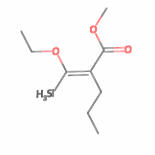 CCCC(C(=O)OC)=C([SiH3])OCC